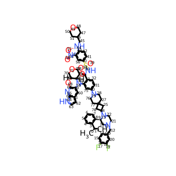 CC(C)c1ccccc1[C@@H]1CN(Cc2ccc(F)c(F)c2)CCN1C1CC2(CCN(c3ccc(C(=O)NS(=O)(=O)c4ccc(NCC5CCOCC5)c([N+](=O)[O-])c4)c(N4c5cc6cc[nH]c6nc5O[C@H]5COCC[C@@H]54)c3)CC2)C1